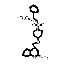 Cc1cc(COC2CCN(S(=O)(=O)CC(NC(=O)O)c3ccccc3)CC2)c2ccccc2n1